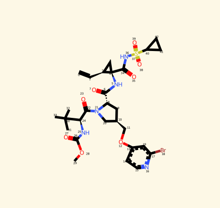 C=C[C@H]1C[C@]1(NC(=O)[C@@H]1C[C@@H](COc2ccnc(Br)c2)CN1C(=O)[C@@H](NC(=O)OC)C(C)(C)C)C(=O)NS(=O)(=O)C1CC1